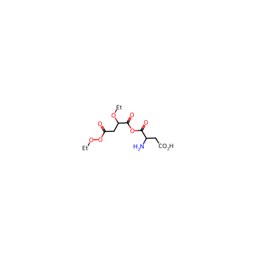 CCOOC(=O)CC(OCC)C(=O)OC(=O)C(N)CC(=O)O